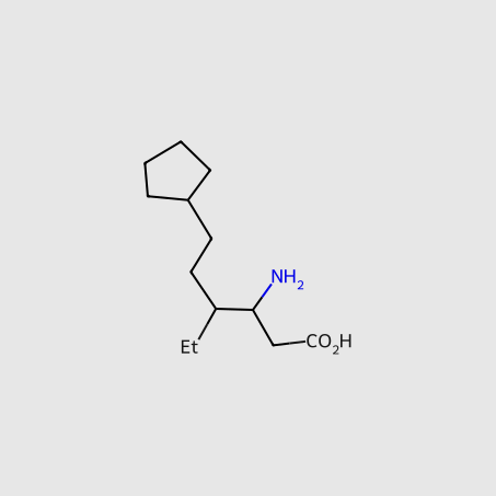 CCC(CCC1CCCC1)C(N)CC(=O)O